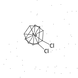 Cl[C]12[CH]3[CH]4[CH]5[CH]1[Ni]45321678[CH]2[CH]1[CH]6[C]7(Cl)[CH]28